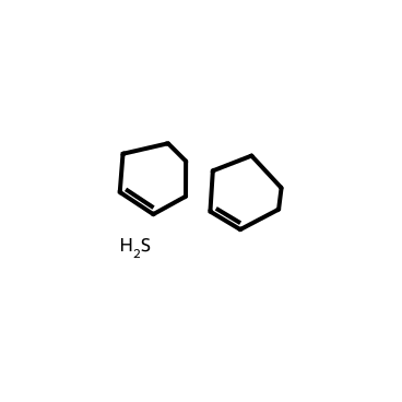 C1=CCCCC1.C1=CCCCC1.S